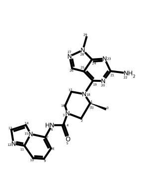 C[C@H]1CN(C(=O)Nc2cccc3nccn23)CCN1c1nc(N)nc2c1cnn2C